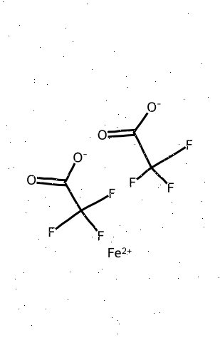 O=C([O-])C(F)(F)F.O=C([O-])C(F)(F)F.[Fe+2]